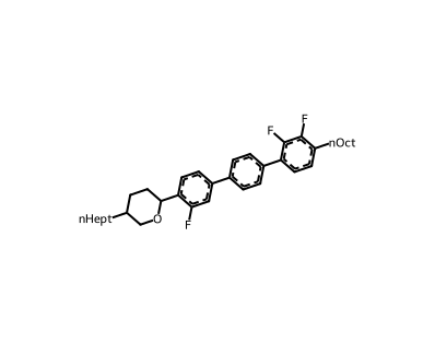 CCCCCCCCc1ccc(-c2ccc(-c3ccc(C4CCC(CCCCCCC)CO4)c(F)c3)cc2)c(F)c1F